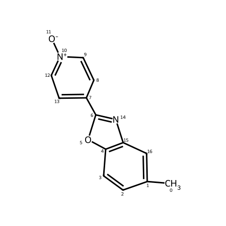 Cc1ccc2oc(-c3cc[n+]([O-])cc3)nc2c1